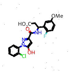 COc1ccc(F)c(C(CC(=O)O)NC(=O)c2cc(O)n(-c3ccccc3Cl)n2)c1